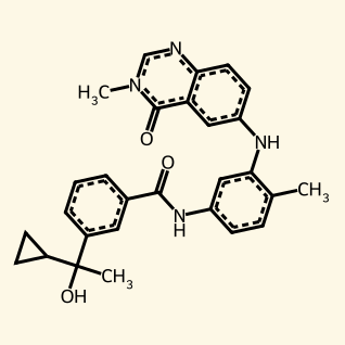 Cc1ccc(NC(=O)c2cccc(C(C)(O)C3CC3)c2)cc1Nc1ccc2ncn(C)c(=O)c2c1